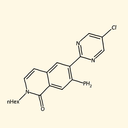 CCCCCCn1ccc2cc(-c3ncc(Cl)cn3)c(P)cc2c1=O